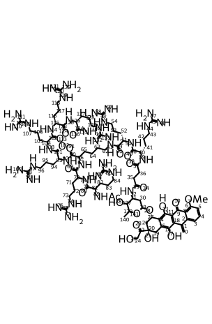 C=C1c2cccc(OC)c2C(=O)c2c(O)c3c(c(O)c21)C[C@](O)(C(=O)CO)C[C@@H]3OC1CC(NC(=O)CCC(=O)N[C@@H](CCCNC(=N)N)C(=O)N[C@@H](CCCNC(=N)N)C(=O)NCCCCC(NC(=O)C(CCCNC(=N)N)NC(=O)C(CCCNC(=N)N)NC(C)=O)C(=O)N[C@@H](CCCNC(=N)N)C(=O)N[C@@H](CCCNC(=N)N)C(=O)N[C@@H](CCCNC(=N)N)C(=O)N[C@@H](CCCNC(=N)N)C(N)=O)C(O)C(C)O1